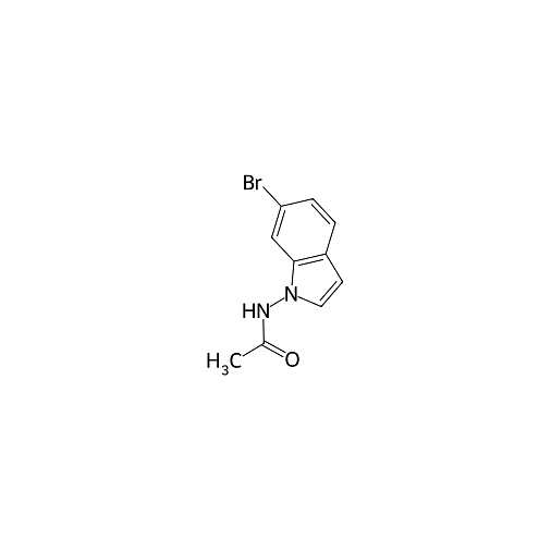 CC(=O)Nn1ccc2ccc(Br)cc21